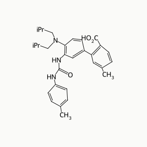 Cc1ccc(NC(=O)Nc2cc(-c3cc(C)ccc3C(=O)O)ccc2N(CC(C)C)CC(C)C)cc1